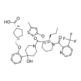 CCC[C@H]1N(C(=O)c2ncccc2C(F)(F)F)CCC[C@@]1(Oc1csc(C)c1)C(=O)N1CCC(O)(c2ccccc2OC[C@H]2CC[C@@H](C(=O)O)C2)CC1